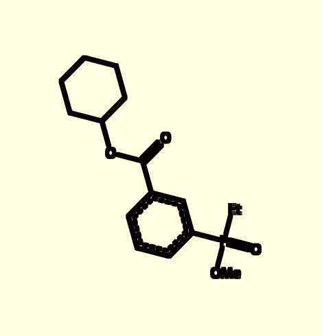 CCP(=O)(OC)c1cccc(C(=O)OC2CCCCC2)c1